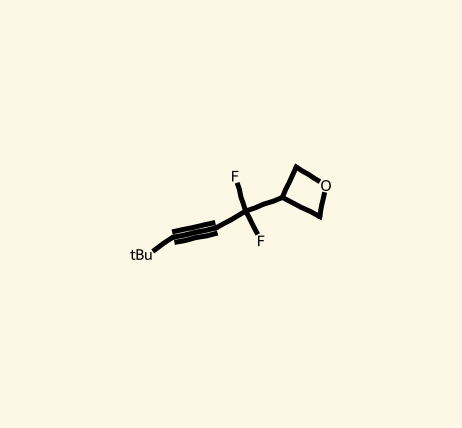 CC(C)(C)C#CC(F)(F)C1COC1